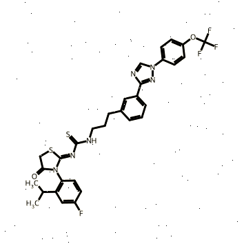 CC(C)c1cc(F)ccc1N1C(=O)CS/C1=N\C(=S)NCCCc1cccc(-c2ncn(-c3ccc(OC(F)(F)F)cc3)n2)c1